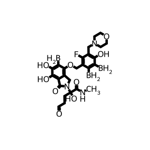 Bc1c(B)c(COc2c(B)c(O)c(O)c3c2CN(C(O)(CCC=O)C(=O)NC)C3=O)c(F)c(CN2CCOCC2)c1O